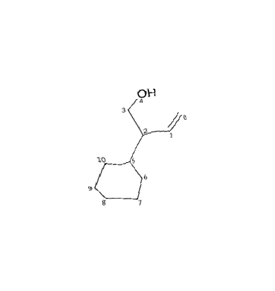 C=CC(CO)C1CCCCC1